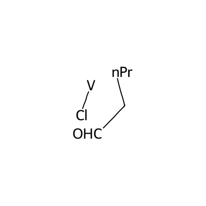 CCCCC=O.[Cl][V]